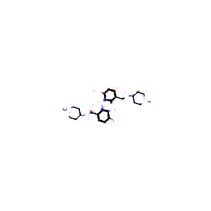 CN1CCC(N=Cc2c(O)cc(O)c3nc4c(C(=O)NC5CCN(C)CC5)ccc(O)c4nc23)CC1